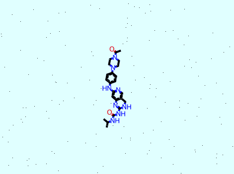 CC(=O)N1CCN(c2ccc(Nc3cc4c(cn3)CNC(NC(=O)NC(C)C)=N4)cc2)CC1